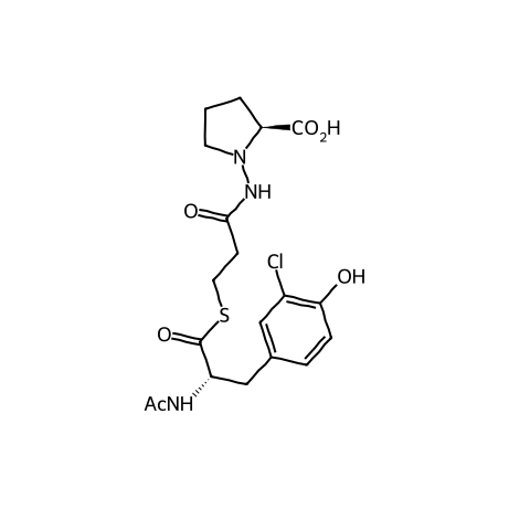 CC(=O)N[C@@H](Cc1ccc(O)c(Cl)c1)C(=O)SCCC(=O)NN1CCC[C@H]1C(=O)O